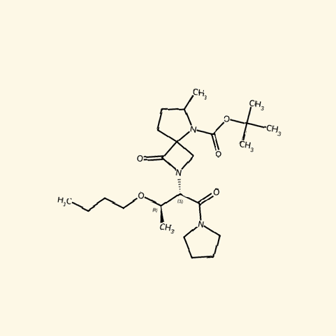 CCCCO[C@H](C)[C@@H](C(=O)N1CCCC1)N1CC2(CCC(C)N2C(=O)OC(C)(C)C)C1=O